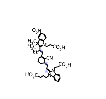 CC/C(=C\C1=C(C#N)C(=C/C=C2/N(CCCC(=O)O)c3ccccc3N2CCC(=O)O)/CCC1)C1=[N+](CCC(=O)O)c2ccc([N+](=O)[O-])cc2C1(C)C